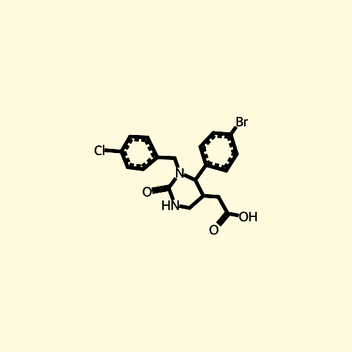 O=C(O)CC1CNC(=O)N(Cc2ccc(Cl)cc2)C1c1ccc(Br)cc1